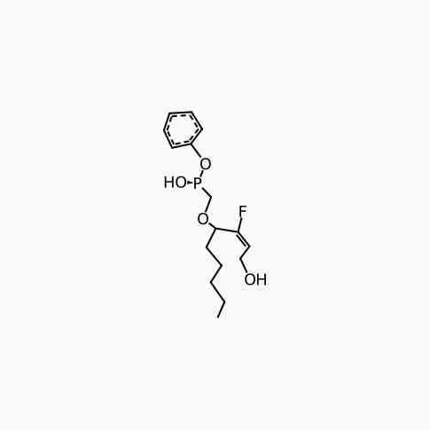 CCCCCC(OC[P@@](O)Oc1ccccc1)/C(F)=C\CO